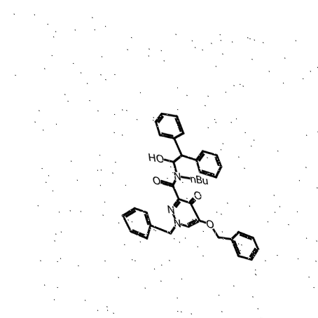 CCCCN(C(=O)c1nn(Cc2ccccc2)cc(OCc2ccccc2)c1=O)C(O)C(c1ccccc1)c1ccccc1